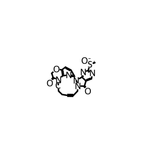 C[S+]([O-])c1ncc2c(=O)n3n(c2n1)-c1ccc2c(n1)N(CCCC#CC3)C(=O)CO2